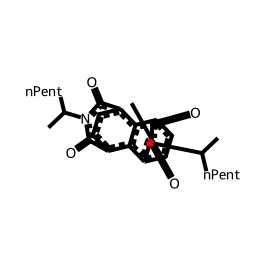 CCCCCC(C)n1c(=O)c2ccc(c1=O)c1c3ccc(c(=O)n(C(C)CCCCC)c3=O)c21